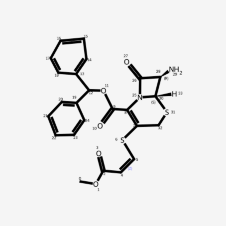 COC(=O)/C=C\SC1=C(C(=O)OC(c2ccccc2)c2ccccc2)N2C(=O)[C@@H](N)[C@@H]2SC1